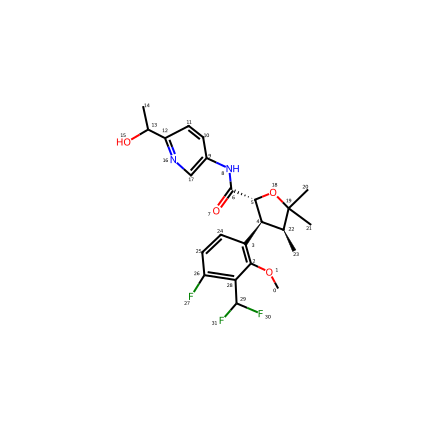 COc1c([C@H]2[C@H](C(=O)Nc3ccc(C(C)O)nc3)OC(C)(C)[C@H]2C)ccc(F)c1C(F)F